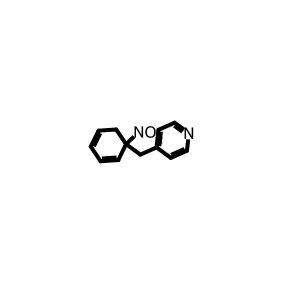 O=[N+]([O-])C1(Cc2ccncc2)C=CC=CC1